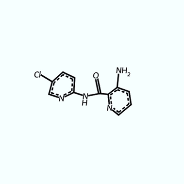 Nc1cccnc1C(=O)Nc1ccc(Cl)cn1